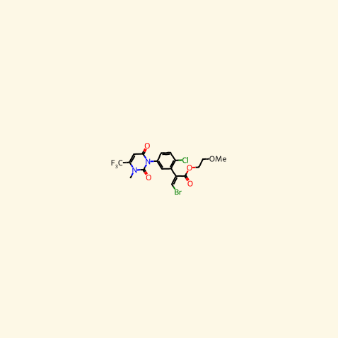 COCCOC(=O)C(=CBr)c1cc(-n2c(=O)cc(C(F)(F)F)n(C)c2=O)ccc1Cl